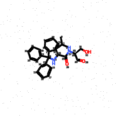 CC(C)C[C@H](NC(c1ccccc1)(c1ccccc1)c1ccccc1)C(=O)N[C@H](C=O)CO